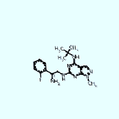 Cn1ncc2c(NC(C)(C)C)nc(NC[C@@H](N)c3ccccc3F)nc21